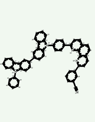 N#Cc1cccc(-c2ccc3ccc4ccc(-c5ccc(-n6c7ccccc7c7cc(-c8ccc9c(c8)c8ccccc8n9-c8ccccc8)ccc76)cc5)nc4c3n2)c1